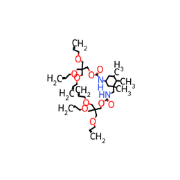 C=CCOCC(COCC=C)(COCC=C)COC(=O)NCC1(C)CC(NC(=O)OCC(COCC=C)(COCC=C)COCC=C)CC(C)C1C